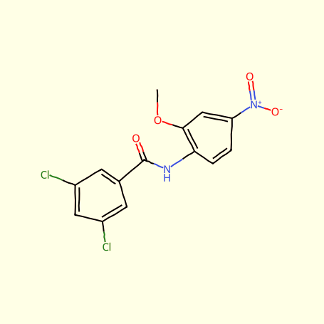 COc1cc([N+](=O)[O-])ccc1NC(=O)c1cc(Cl)cc(Cl)c1